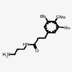 COc1c(C(C)(C)C)cc(CCC(=O)NCCCN)cc1C(C)(C)C